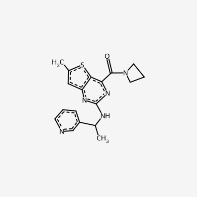 Cc1cc2nc(NC(C)c3cccnc3)nc(C(=O)N3CCC3)c2s1